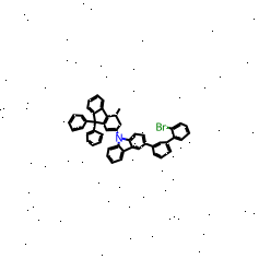 CC1CC(n2c3ccccc3c3cc(-c4cccc(-c5ccccc5Br)c4)ccc32)=CC2=C1c1ccccc1C2(c1ccccc1)c1ccccc1